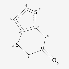 O=C1CSc2ccsc2C1